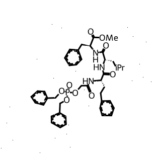 COC(=O)[C@H](Cc1ccccc1)NC(=O)[C@H](CC(C)C)NC(=O)[C@H](CCc1ccccc1)NC(=O)COP(=O)(OCc1ccccc1)OCc1ccccc1